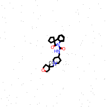 O=C(NCC1CCN(CC2(C(=O)O)CCOCC2)CC1)N1C(=O)C2(CCCC2)c2ccccc21